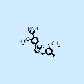 COc1cc(F)cc(Cn2ccn(-c3ccc(-c4cn[nH]c4)c(OC)c3)c2=O)c1